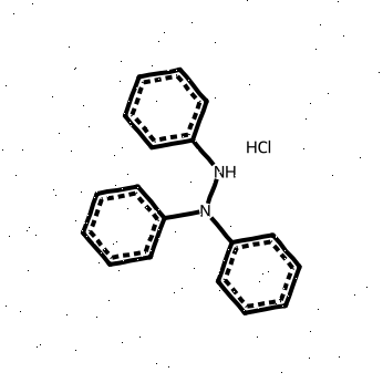 Cl.c1ccc(NN(c2ccccc2)c2ccccc2)cc1